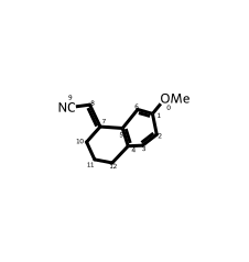 COc1ccc2c(c1)/C(=C/C#N)CCC2